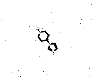 [CH2-][NH+]1CCC(n2ccnc2)CC1